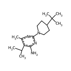 Cc1nc(N2CCC(C(C)(C)C)CC2)nc(N)c1C(C)C